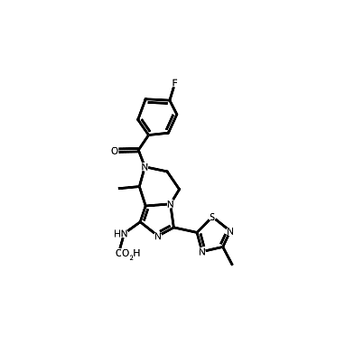 Cc1nsc(-c2nc(NC(=O)O)c3n2CCN(C(=O)c2ccc(F)cc2)C3C)n1